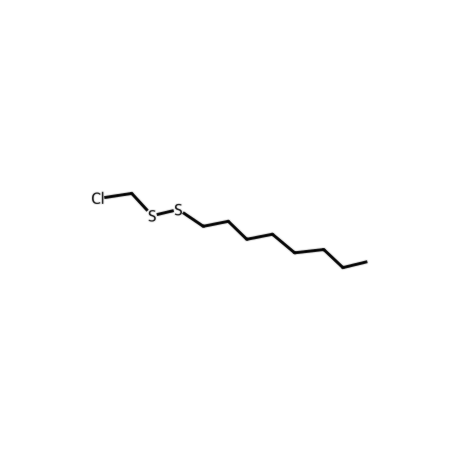 CCCCCCCCSSCCl